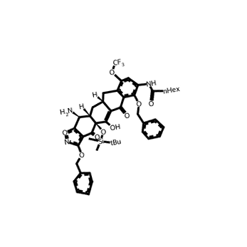 CCCCCCC(=O)Nc1cc(OC(F)(F)F)c2c(c1OCc1ccccc1)C(=O)C1=C(O)[C@]3(O[Si](C)(C)C(C)(C)C)C(=O)c4c(OCc5ccccc5)noc4[C@@H](N)[C@@H]3C[C@@H]1C2